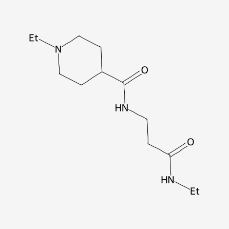 CCNC(=O)CCNC(=O)C1CCN(CC)CC1